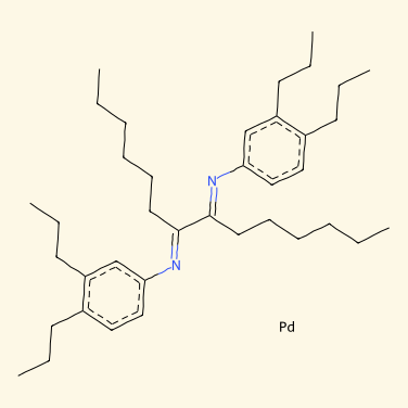 CCCCCCC(=Nc1ccc(CCC)c(CCC)c1)C(CCCCCC)=Nc1ccc(CCC)c(CCC)c1.[Pd]